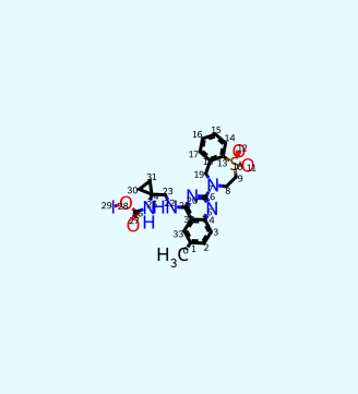 Cc1ccc2nc(N3CCS(=O)(=O)c4ccccc4C3)nc(NCC3(NC(=O)OI)CC3)c2c1